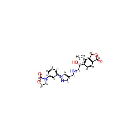 Cc1c([C@@H](O)CNCc2cnn(-c3cccc(N4CCOC4=O)c3)c2)ccc2c1COC2=O